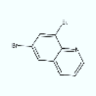 CCc1cc(Br)cc2cccnc12